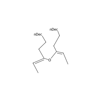 C/C=C(/CCCCCCCCCCCC)O/C(=C\C)CCCCCCCCCCCC